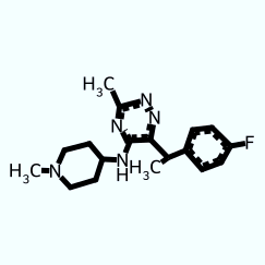 Cc1nnc(C(C)c2ccc(F)cc2)c(NC2CCN(C)CC2)n1